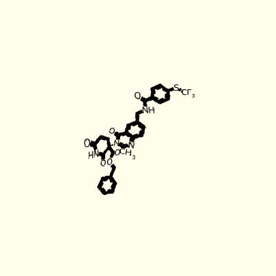 Cc1nc2ccc(CNC(=O)c3ccc(SC(F)(F)F)cc3)cc2c(=O)n1[C@@]1(C(=O)OCc2ccccc2)CCC(=O)NC1=O